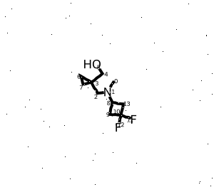 CN(CC1(CO)CC1)C1CC(F)(F)C1